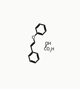 C(=Cc1ccccc1)Oc1ccccc1.O=C(O)O